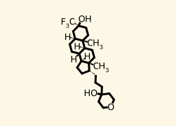 C[C@]12CC[C@@](O)(C(F)(F)F)C[C@@H]1CC[C@@H]1[C@@H]2CC[C@]2(C)[C@H](CCCC3(O)CCOCC3)CC[C@@H]12